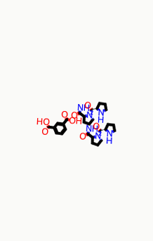 NC(=O)C1CCCN1C(=O)[C@@H]1CCCN1.NC(=O)C1CCCN1C(=O)[C@@H]1CCCN1.O=C(O)c1cccc(C(=O)O)c1